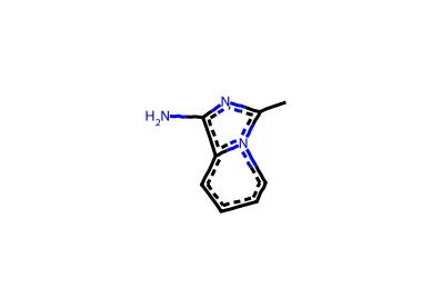 Cc1nc(N)c2ccccn12